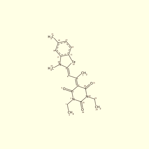 CCN1C(=O)C(=C(C)C=C2[Te]c3ccc(C)cc3N2C)C(=O)N(CC)C1=O